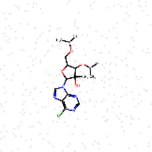 [2H]B(C)OCC1OC(n2cnc3c(Cl)ncnc32)C(C)(O)C1OB([2H])C